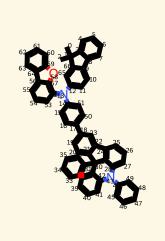 CC1(C)c2ccccc2-c2ccc(N(c3ccc(-c4ccc5c(c4)-c4cccc6c4C5(c4ccccc4)c4ccccc4N6c4ccccc4)cc3)c3cccc4c3oc3ccccc34)cc21